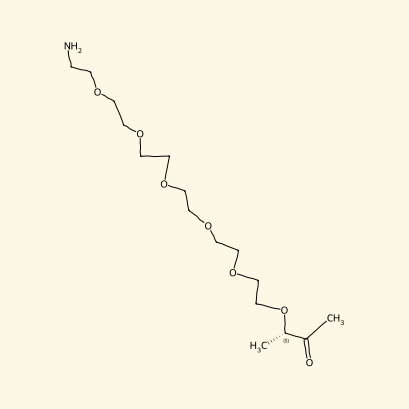 CC(=O)[C@H](C)OCCOCCOCCOCCOCCOCCN